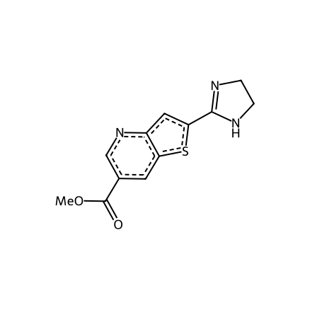 COC(=O)c1cnc2cc(C3=NCCN3)sc2c1